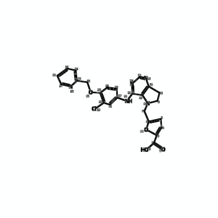 O=C(O)c1ccc(CN2CCc3ncnc(Nc4ccc(OCc5ccccn5)c(Cl)c4)c32)o1